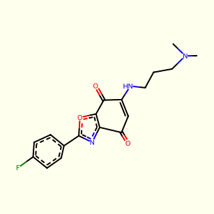 CN(C)CCCNC1=CC(=O)c2nc(-c3ccc(F)cc3)oc2C1=O